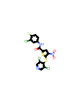 O=C(Nc1ccc(F)c(Cl)c1)c1cc([N+](=O)[O-])c(Sc2c(Cl)cncc2Cl)s1